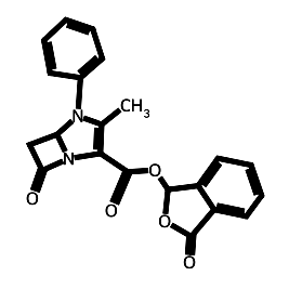 CC1=C(C(=O)OC2OC(=O)c3ccccc32)N2C(=O)CC2N1c1ccccc1